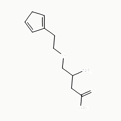 CC(=O)OC(=O)CC(N)COCCC1=CCC=C1